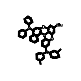 Cc1cccc(N(c2cccc(C)c2)c2ccc3c(c2)Oc2cc(C(C)(C)C)cc4c2B3c2c(cc(N(c3ccccc3)c3ccccc3)c3ccccc23)O4)c1